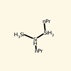 CCC[SiH2][SiH]([SiH3])CCC